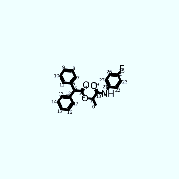 CC(OC(=O)C(c1ccccc1)c1ccccc1)C(=O)Nc1ccc(F)cc1